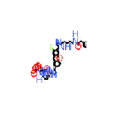 CC[C@H](C)CC(=O)NCCCCC1=NCC(c2cc3c(cc2F)Cc2cc(C4CN=C([C@@H]5CCCN5C(=O)[C@H](COC)NC(=O)OC)N4)ccc2O3)N1